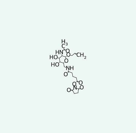 C=CCOC1OC(CNC(=O)CCCC(=O)ON2C(=O)CCC2=O)C(O)C(O)C1NC(C)=O